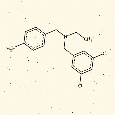 CC[N+](Cc1ccc(N)cc1)Cc1cc(Cl)cc(Cl)c1